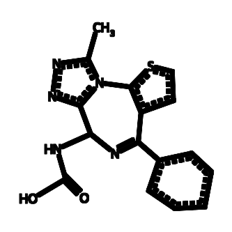 Cc1nnc2n1-c1sccc1C(c1ccccc1)=NC2NC(=O)O